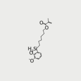 C=C(C)C(=O)OCCCCCC[SiH2]c1cccc(OC)c1OC